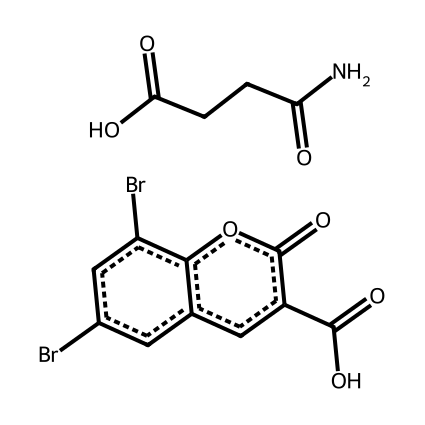 NC(=O)CCC(=O)O.O=C(O)c1cc2cc(Br)cc(Br)c2oc1=O